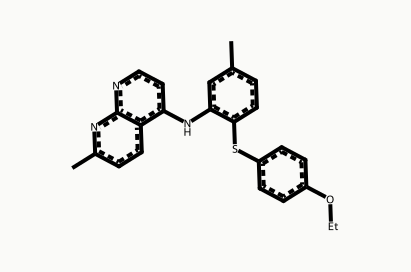 CCOc1ccc(Sc2ccc(C)cc2Nc2ccnc3nc(C)ccc23)cc1